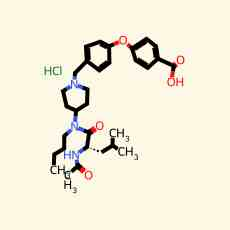 CCCCN(C(=O)[C@H](CC(C)C)NC(C)=O)C1CCN(Cc2ccc(Oc3ccc(C(=O)O)cc3)cc2)CC1.Cl